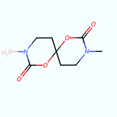 BN1CCC2(CCN(C)C(=O)O2)OC1=O